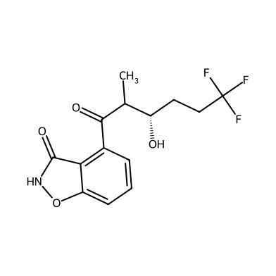 CC(C(=O)c1cccc2o[nH]c(=O)c12)[C@@H](O)CCC(F)(F)F